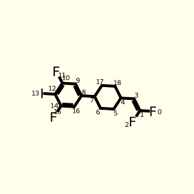 FC(F)=CC1CCC(c2cc(F)c(I)c(F)c2)CC1